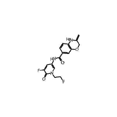 C=C1COc2cc(C(=O)Nc3cc(F)c(=O)n(CCF)c3)ccc2N1